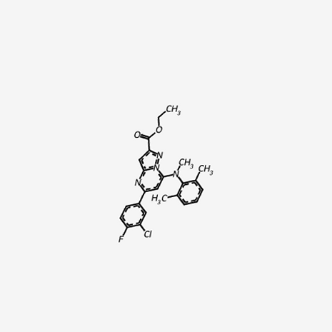 CCOC(=O)c1cc2nc(-c3ccc(F)c(Cl)c3)cc(N(C)c3c(C)cccc3C)n2n1